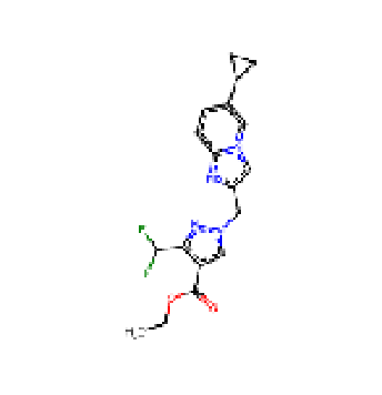 CCOC(=O)c1cn(Cc2cn3cc(C4CC4)ccc3n2)nc1C(F)F